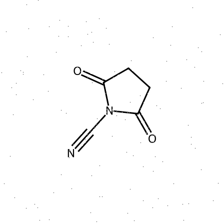 N#CN1C(=O)CCC1=O